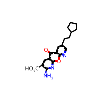 Nc1nc2oc3ncc(CCC4CCCC4)cc3c(=O)c2cc1C(=O)O